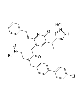 CCN(CC)CCN(Cc1ccc(-c2ccc(Cl)cc2)cc1)C(=O)Cn1cc(C(C)c2cn[nH]c2)c(=O)nc1SCc1ccccc1.Cl